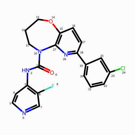 O=C(Nc1ccncc1F)N1CCCOc2ccc(-c3cccc(Cl)c3)nc21